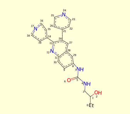 CCC(O)CNC(=O)Nc1ccc2nc(-c3ccncc3)c(-c3ccncc3)cc2c1